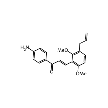 C=CCc1ccc(OC)c(C=CC(=O)c2ccc(N)cc2)c1OC